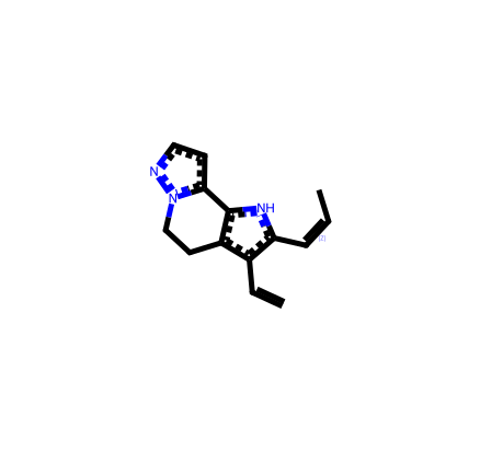 C=Cc1c(/C=C\C)[nH]c2c1CCn1nccc1-2